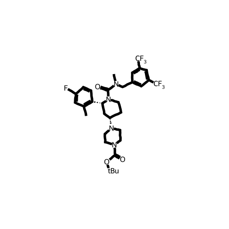 Cc1cc(F)ccc1[C@H]1C[C@@H](N2CCN(C(=O)OC(C)(C)C)CC2)CCN1C(=O)N(C)Cc1cc(C(F)(F)F)cc(C(F)(F)F)c1